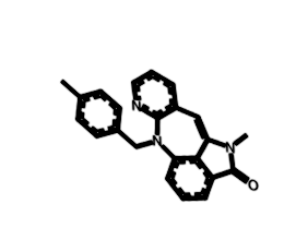 Cc1ccc(CN2c3cccc4c3C(=Cc3cccnc32)N(C)C4=O)cc1